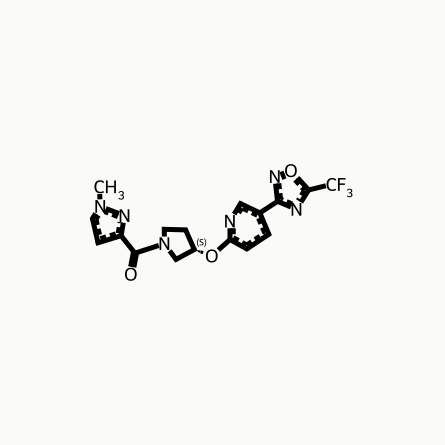 Cn1ccc(C(=O)N2CC[C@H](Oc3ccc(-c4noc(C(F)(F)F)n4)cn3)C2)n1